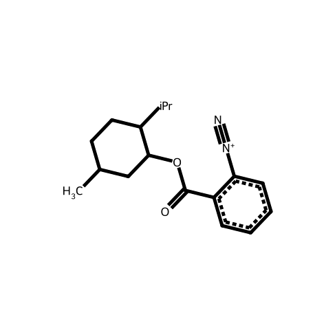 CC1CCC(C(C)C)C(OC(=O)c2ccccc2[N+]#N)C1